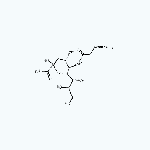 [N-]=[N+]=NCC(=O)N[C@H]1[C@H]([C@H](O)[C@H](O)CO)OC(O)(C(=O)O)C[C@@H]1O